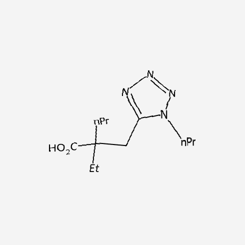 CCCn1nnnc1CC(CC)(CCC)C(=O)O